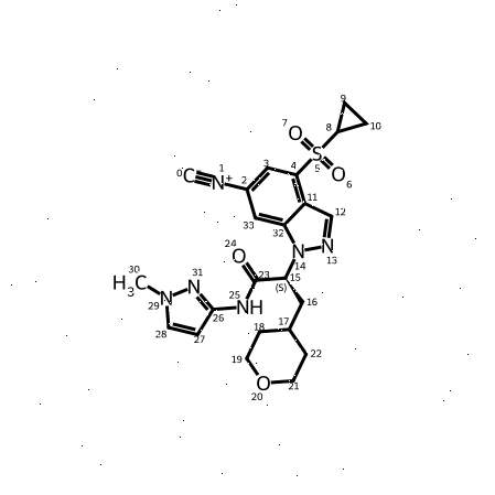 [C-]#[N+]c1cc(S(=O)(=O)C2CC2)c2cnn([C@@H](CC3CCOCC3)C(=O)Nc3ccn(C)n3)c2c1